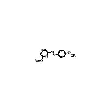 COc1cncc(NCc2ccc(OC(F)(F)F)cc2)n1